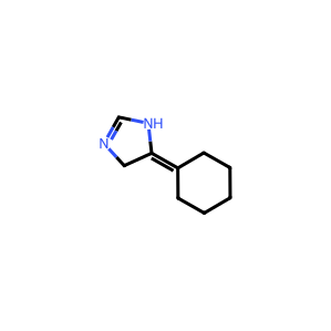 C1=NCC(=C2CCCCC2)N1